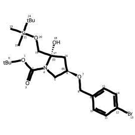 CC(C)(C)OC(=O)N1C[C@H](OCc2ccc(Br)cc2)C[C@]1(O)CO[Si](C)(C)C(C)(C)C